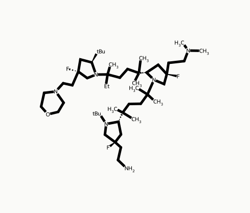 CCC(C)(CCC(C)(C)[C@@H]1C[C@](F)(CCN(C)C)CN1C(C)(C)CCC(C)(C)[C@@H]1C[C@](F)(CCN)CN1C(C)(C)C)N1C[C@@](F)(CCN2CCOCC2)C[C@H]1C(C)(C)C